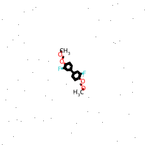 COCOc1ccc(-c2ccc(OCOC)c(F)c2)cc1F